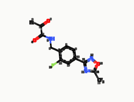 CCC(=O)C(=O)NCc1ccc(-c2noc(C(F)(F)F)n2)cc1F